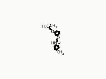 Cc1ccc(NC(=O)COc2cccc(OCCC(C)C)c2)cc1